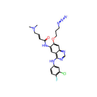 CN(C)CC=CC(=O)Nc1cc2c(Nc3ccc(F)c(Cl)c3)ncnc2cc1OCCCN=[N+]=[N-]